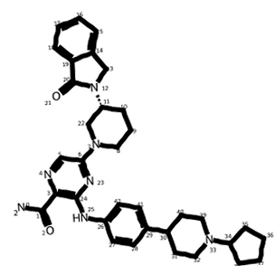 NC(=O)c1ncc(N2CCC[C@@H](N3Cc4ccccc4C3=O)C2)nc1Nc1ccc(C2CCN(C3CCCC3)CC2)cc1